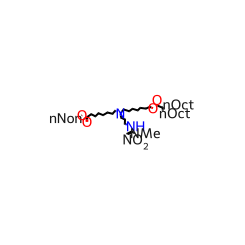 CCCCCCCCCOC(=O)CCCCCCCN(CCCCCCCOC(=O)C(CCCCCCCC)CCCCCCCC)CCCNC(=C[N+](=O)[O-])NC